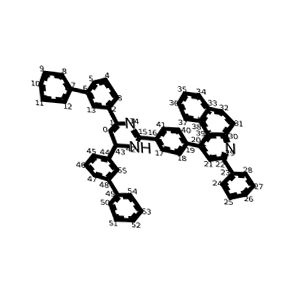 C1=C(c2cccc(-c3ccccc3)c2)N=C(c2ccc(-c3cc(-c4ccccc4)nc4ccc5ccccc5c34)cc2)NC1c1cccc(-c2ccccc2)c1